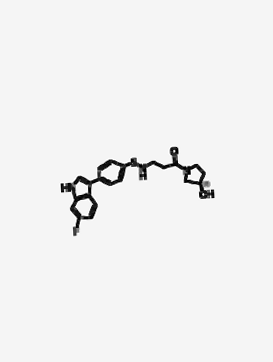 O=C(CCNSc1ccc(-c2c[nH]c3cc(F)ccc23)cc1)N1CC[C@@H](O)C1